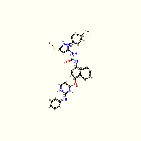 CCSc1cc(NC(=O)Nc2ccc(Oc3ccnc(Nc4ccccc4)n3)c3ccccc23)n(-c2ccc(C)cc2)n1